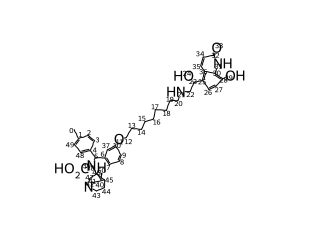 Cc1ccc(C(c2cccc(OCCCCCCCCCNC[C@H](O)c3ccc(O)c4[nH]c(=O)ccc34)c2)N(C(=O)O)[C@H]2CN3CCC2CC3)cc1